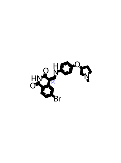 CN1CCC(Oc2ccc(N/C=C3\C(=O)NC(=O)c4ccc(Br)cc43)cc2)C1